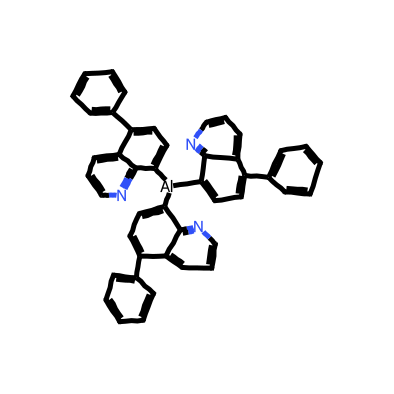 c1ccc(-c2cc[c]([Al]([c]3ccc(-c4ccccc4)c4cccnc34)[c]3ccc(-c4ccccc4)c4cccnc34)c3ncccc23)cc1